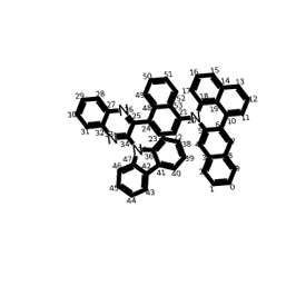 c1ccc2cc3c(cc2c1)-c1cccc2cccc(c12)N3c1ccc(-c2nc3ccccc3nc2-n2c3ccccc3c3ccccc32)c2ccccc12